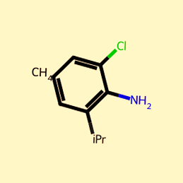 C.CC(C)c1cccc(Cl)c1N